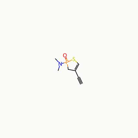 C#CC1=CSP(=O)(N(C)C)C1